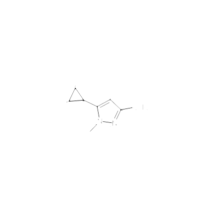 Cn1nc(C=O)cc1C1CC1